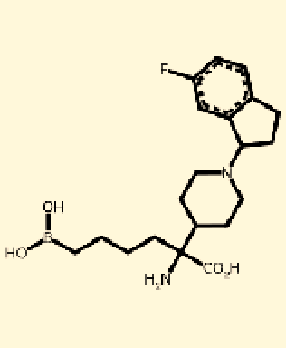 NC(CCCCB(O)O)(C(=O)O)C1CCN(C2CCc3ccc(F)cc32)CC1